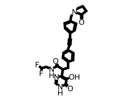 O=C(NCC(F)F)C(Cc1ccc(C#Cc2ccc(CN3CCCC3=O)cc2)cc1)c1nc[nH]c(=O)c1O